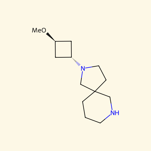 CO[C@H]1C[C@H](N2CCC3(CCCNC3)C2)C1